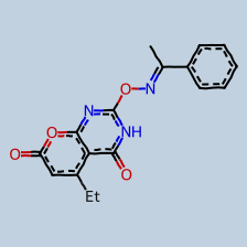 CCc1cc(=O)oc2nc(O/N=C(\C)c3ccccc3)[nH]c(=O)c12